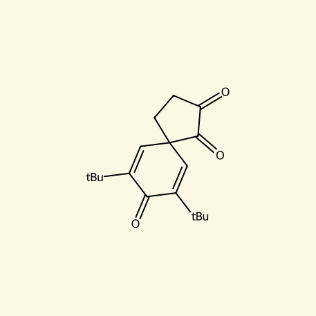 CC(C)(C)C1=CC2(C=C(C(C)(C)C)C1=O)CCC(=O)C2=O